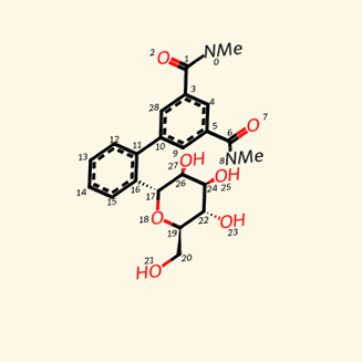 CNC(=O)c1cc(C(=O)NC)cc(-c2ccccc2[C@H]2O[C@H](CO)[C@@H](O)[C@H](O)[C@@H]2O)c1